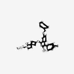 CCOC(=O)CN1CCC2(CC(Oc3nc(C(C)C)c(-c4ccc(F)cc4)c4ccc(OCc5ccccc5)cc34)C2)C1=O